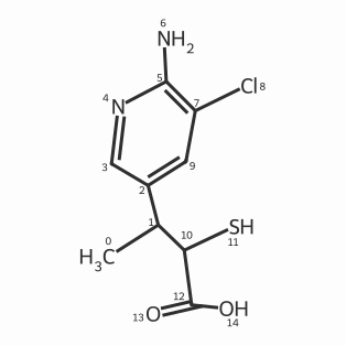 CC(c1cnc(N)c(Cl)c1)C(S)C(=O)O